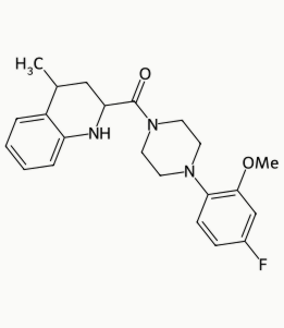 COc1cc(F)ccc1N1CCN(C(=O)C2CC(C)c3ccccc3N2)CC1